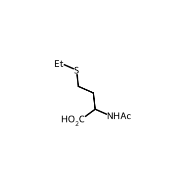 CCSCCC(NC(C)=O)C(=O)O